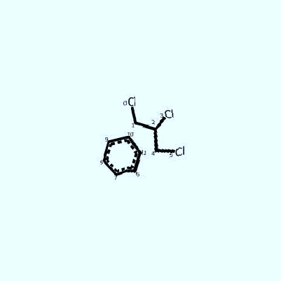 ClCC(Cl)CCl.c1ccccc1